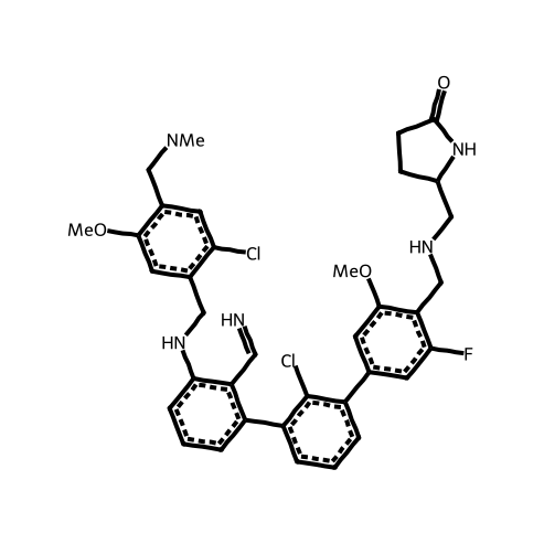 CNCc1cc(Cl)c(CNc2cccc(-c3cccc(-c4cc(F)c(CNCC5CCC(=O)N5)c(OC)c4)c3Cl)c2C=N)cc1OC